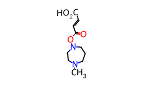 CN1CCCN(OC(=O)C=CC(=O)O)CC1